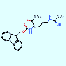 CNC(=N)NCCC[C@@H](NC(=O)OCC1c2ccccc2-c2ccccc21)C(=O)NC